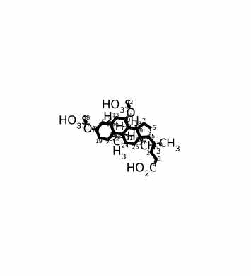 C[C@H](CCC(=O)O)[C@H]1CC[C@H]2[C@@H]3[C@H](OS(=O)(=O)O)C[C@@H]4C[C@H](OS(=O)(=O)O)CC[C@]4(C)[C@H]3CC[C@]12C